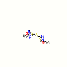 C=C(CCSCCC(=C)S/C(=N\C)NC(=O)CC(C)C)SC(=C)NC(=O)CC(C)C